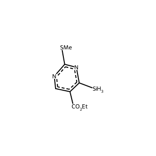 CCOC(=O)c1cnc(SC)nc1[SiH3]